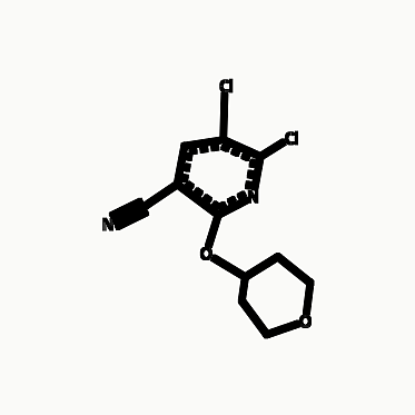 N#Cc1cc(Cl)c(Cl)nc1OC1CCOCC1